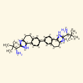 CC(C)(C)[C@H](N)c1nc2c([nH]1)-c1ccc(-c3ccc4c(c3)CCc3nc([C@@H](N)C(C)(C)C)[nH]c3-4)cc1CC2